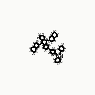 C1=Cc2ccc(-c3c4ccccc4c(-c4ccc5ccccc5c4)c4ccc(-c5ccc(-n6c(-c7ccccc7)nc7ccccc76)cc5)cc34)cc2CC1